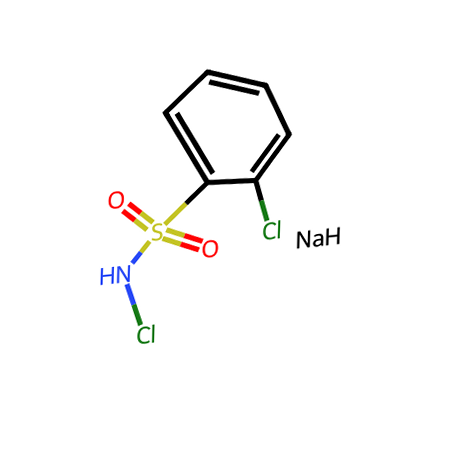 O=S(=O)(NCl)c1ccccc1Cl.[NaH]